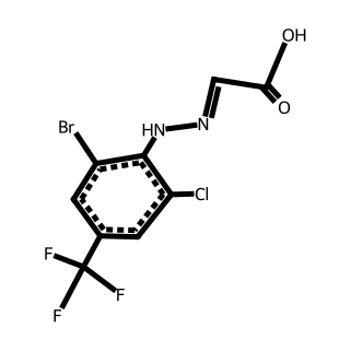 O=C(O)C=NNc1c(Cl)cc(C(F)(F)F)cc1Br